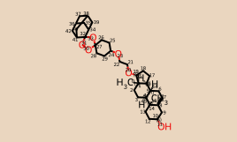 C[C@]12CC[C@H]3[C@@H](CC=C4C[C@@H](O)CC[C@@]43C)[C@@H]1CC[C@@H]2OCCOC1CCC2(CC1)OOC1(O2)C2CC3CC(C2)CC1C3